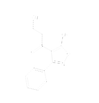 CCCC(=O)c1c(-c2ccccc2)noc1C